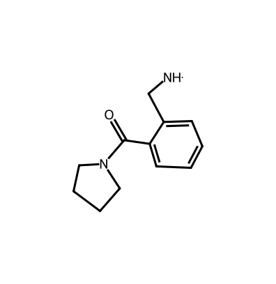 [NH]Cc1ccccc1C(=O)N1CCCC1